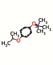 CC(C)Oc1ccc(O[Si](C)(C)C)cc1